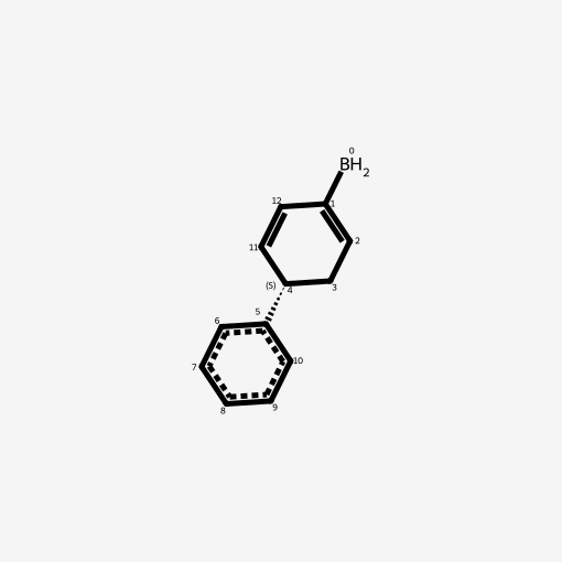 BC1=CC[C@H](c2ccccc2)C=C1